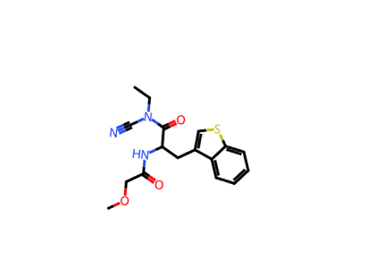 CCN(C#N)C(=O)C(Cc1csc2ccccc12)NC(=O)COC